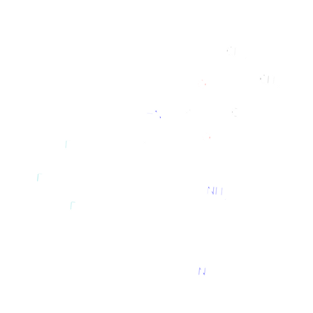 CC(C)(C)OC(=O)NC1CC(c2ccncc2N)CC(C(F)(F)F)C1